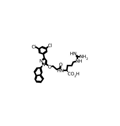 N=C(N)NCCC[C@H](NC(=O)CCOc1cc(-c2cc(Cl)cc(Cl)c2)nn1-c1ccc2ccccc2c1)C(=O)O